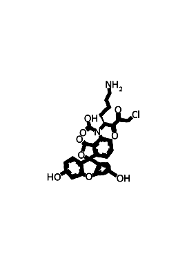 NCCCC[C@@H](C(=O)C(=O)CCl)N(C(=O)O)c1cccc2c1C(=O)OC21c2ccc(O)cc2Oc2cc(O)ccc21